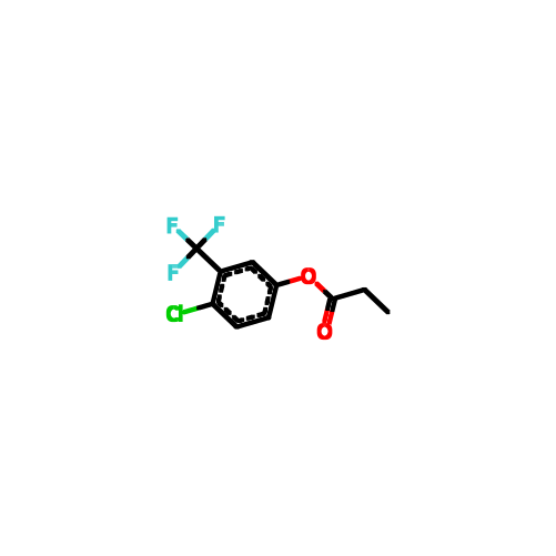 CCC(=O)Oc1ccc(Cl)c(C(F)(F)F)c1